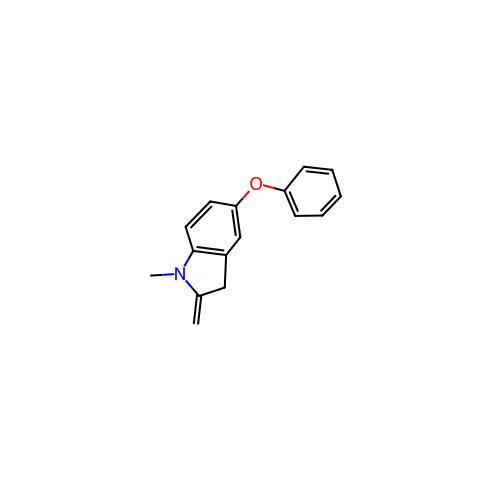 C=C1Cc2cc(Oc3ccccc3)ccc2N1C